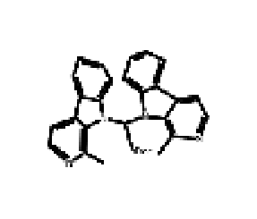 CCCCCCCCCCC(n1c2ccccc2c2ccnc(C)c21)n1c2ccccc2c2ccnc(C)c21